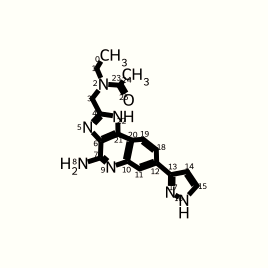 CCN(Cc1nc2c(N)nc3cc(-c4cc[nH]n4)ccc3c2[nH]1)C(C)=O